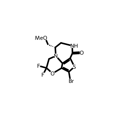 COC[C@@H]1CNC(=O)c2sc(Br)c3c2N1CC(F)(F)O3